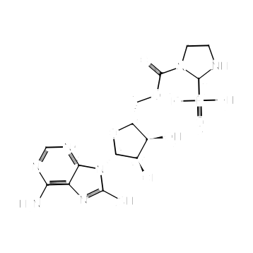 Nc1ncnc2c1nc(S)n2[C@@H]1O[C@H](COC(=O)N2CCNC2P(=O)(O)O)[C@@H](O)[C@H]1O